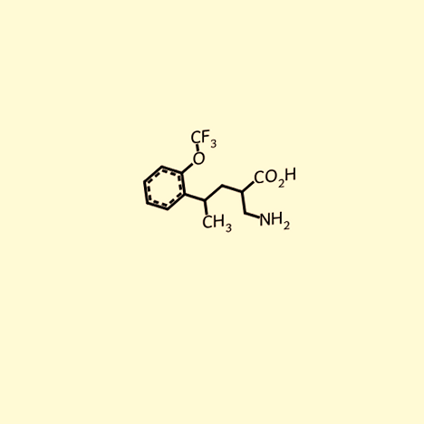 CC(CC(CN)C(=O)O)c1ccccc1OC(F)(F)F